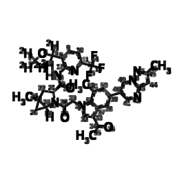 [2H]C([2H])([2H])OC([2H])([2H])c1ccc(C(F)(F)F)nc1NC(=O)[C@@H]1C[C@@]2(C)C[C@H]2N1C(=O)Cn1cc(C(C)=O)c2cc(-c3cnc4cc(C)nn4c3)cc(C)c21